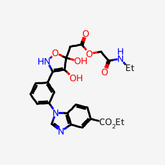 CCNC(=O)COC(=O)CC1(O)ONC(c2cccc(-n3cnc4cc(C(=O)OCC)ccc43)c2)=C1O